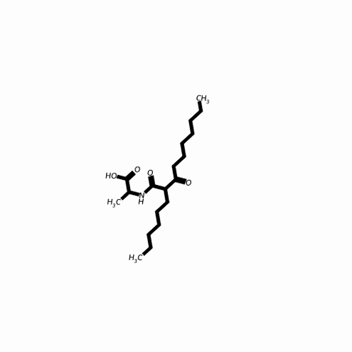 CCCCCCCC(=O)C(CCCCCC)C(=O)NC(C)C(=O)O